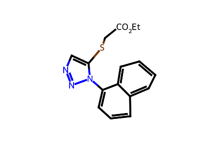 CCOC(=O)CSc1cnnn1-c1cccc2ccccc12